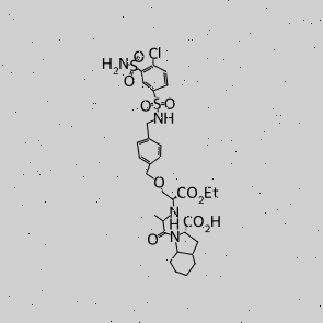 CCOC(=O)[C@H](COCc1ccc(CNS(=O)(=O)c2ccc(Cl)c(S(N)(=O)=O)c2)cc1)NC(C)C(=O)N1C2CCCCC2C[C@H]1C(=O)O